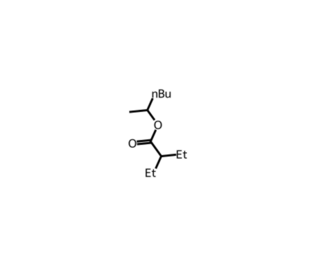 CCCCC(C)OC(=O)C(CC)CC